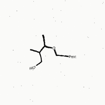 CCCC(C)COC(C)C(C)CO